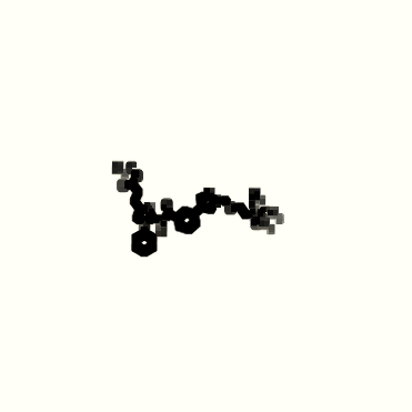 COC(=O)CCc1cn(-c2ccccc2)c(NC(=O)c2cccc(-c3cnn(COCC[Si](C)(C)C)c3)c2)n1